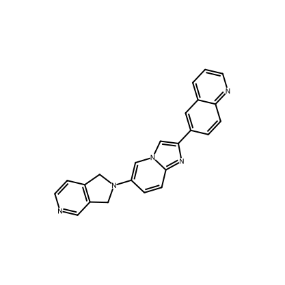 c1cnc2ccc(-c3cn4cc(N5Cc6ccncc6C5)ccc4n3)cc2c1